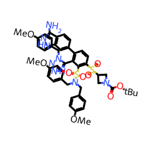 COc1ccc(CN(Cc2ccc(OC)cc2)S(=O)(=O)c2c(S(=O)(=O)C3CN(C(=O)OC(C)(C)C)C3)ccc(-c3ccc4c(N)n[nH]c4c3)c2-c2nnnn2Cc2ccc(OC)cc2)cc1